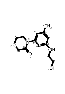 Cc1cc(NCCO)nc(N2CCOCC2=O)c1